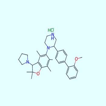 COc1ccccc1-c1ccc(C2CNCCN2c2c(C)c(C)c3c(c2C)C(N2CCCC2)C(C)(C)O3)cc1.Cl